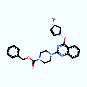 CC(=O)O[C@H]1C=C[C@@H](Oc2nc(N3CCN(C(=O)OCc4ccccc4)CC3)nc3ccccc23)C1